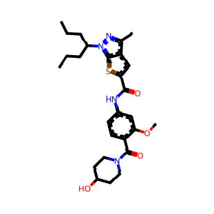 CCCC(CCC)n1nc(C)c2cc(C(=O)Nc3ccc(C(=O)N4CCC(O)CC4)c(OC)c3)sc21